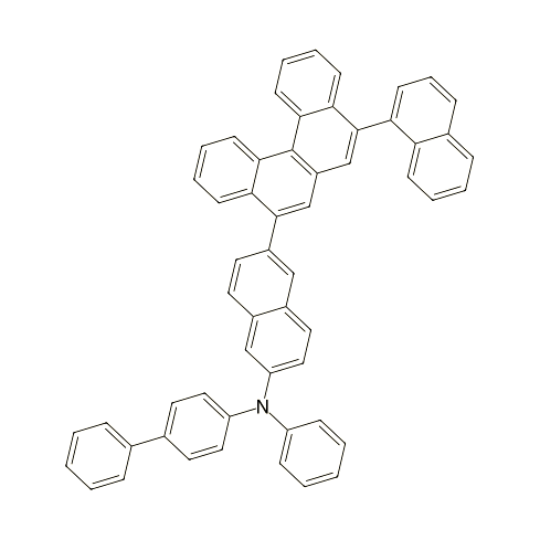 c1ccc(-c2ccc(N(c3ccccc3)c3ccc4cc(-c5cc6cc(-c7cccc8ccccc78)c7ccccc7c6c6ccccc56)ccc4c3)cc2)cc1